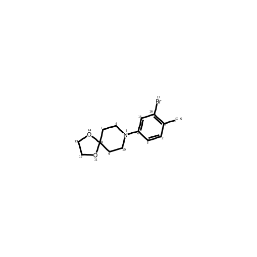 Fc1ccc(N2CCC3(CC2)OCCO3)cc1Br